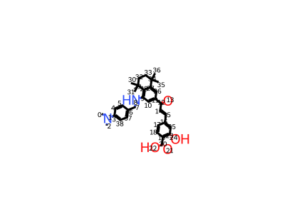 CN(C)c1ccc(CNc2cc(C(=O)/C=C/c3ccc(C(=O)O)c(O)c3)cc3c2C(C)(C)CCC3(C)C)cc1